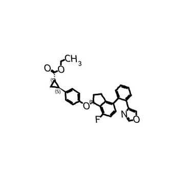 CCOC(=O)[C@H]1C[C@@H]1c1ccc(O[C@@H]2CCc3c(-c4ccccc4-c4cocn4)ccc(F)c32)cc1